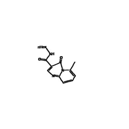 CCCCCCNC(=O)c1cnc2cccc(C)n2c1=O